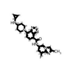 Cc1cn2cc(NC(=O)c3ccc(N4CCC(NC5CC5)CC4)c4nsnc34)cc(F)c2n1